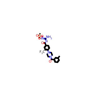 Cc1cccc(C(=O)N2CCN(c3ccc(C(=O)N=C(N)NOS(C)(=O)=O)cc3C(F)(F)F)CC2)c1